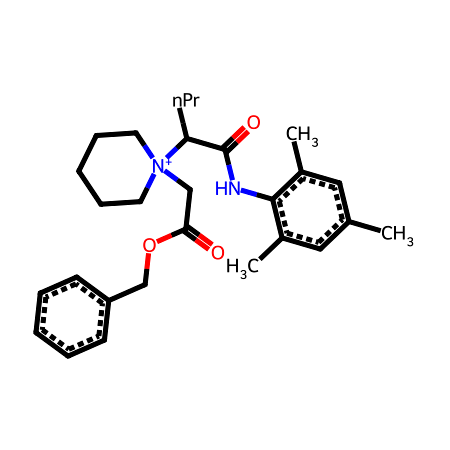 CCCC(C(=O)Nc1c(C)cc(C)cc1C)[N+]1(CC(=O)OCc2ccccc2)CCCCC1